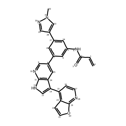 C=CC(=O)Nc1cc(-c2cnc3[nH]cc(-c4ccnc5occc45)c3c2)cc(-c2cnn(C)c2)c1